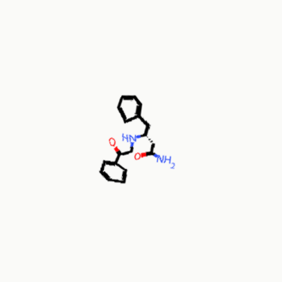 NC(=O)C[C@@H](Cc1ccccc1)NCC(=O)c1ccccc1